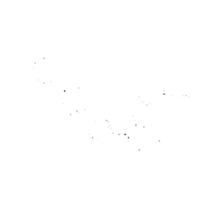 COC(=O)c1cc(OC)c(N(c2cnn(-c3ccc(C4CCC(C(F)(F)F)CC4)cc3)c2)[SH](=O)=O)cc1F